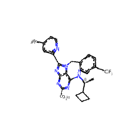 CC(C)c1ccnc(-c2nc3nc(C(=O)O)nc(N[C@@H](C)C4CCC4)c3n2Cc2ccc(C(F)(F)F)cc2)c1